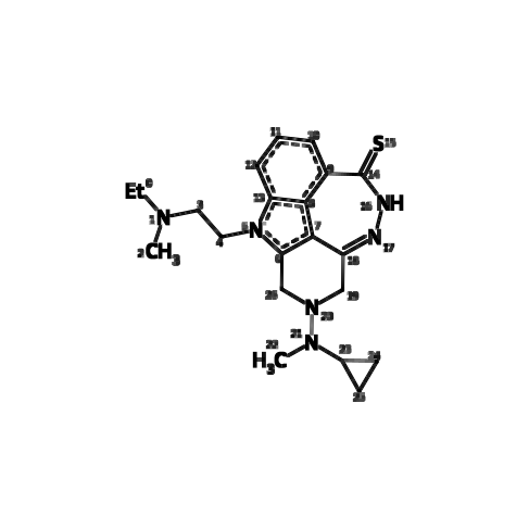 CCN(C)CCn1c2c3c4c(cccc41)C(=S)NN=C3CN(N(C)C1CC1)C2